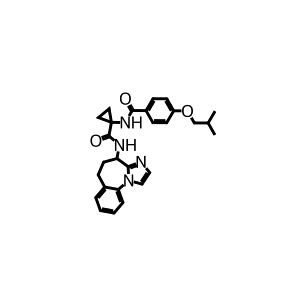 CC(C)COc1ccc(C(=O)NC2(C(=O)NC3CCc4ccccc4-n4ccnc43)CC2)cc1